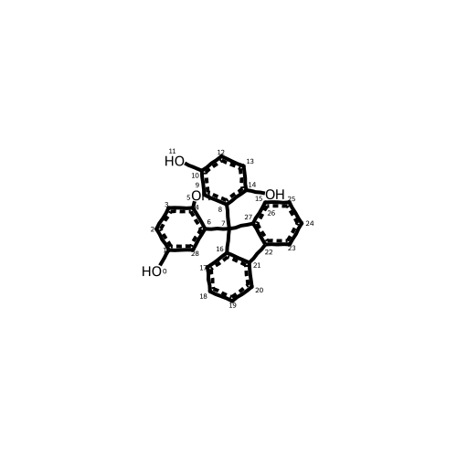 Oc1ccc(O)c(C2(c3cc(O)ccc3O)c3ccccc3-c3ccccc32)c1